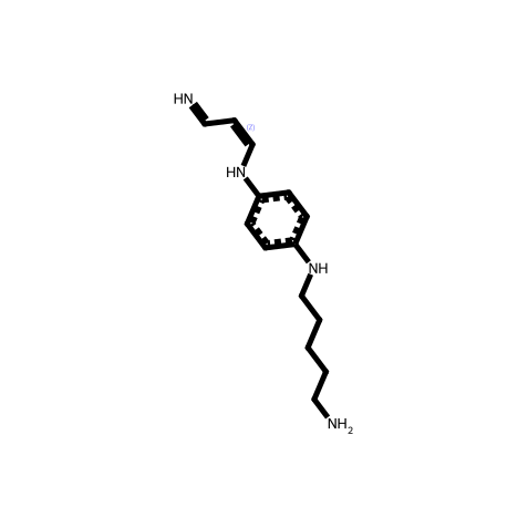 N=C/C=C\Nc1ccc(NCCCCCN)cc1